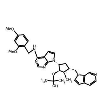 COc1ccc(CNc2ncnc3c2ccn3[C@@H]2C[C@H](Cn3ccc4ccncc43)[C@@H](C)[C@H]2OC(C)(C)O)c(OC)c1